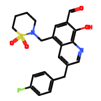 O=Cc1cc(CN2CCCCS2(=O)=O)c2cc(Cc3ccc(F)cc3)cnc2c1O